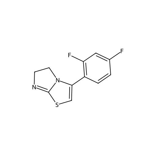 Fc1ccc(C2=CSC3=NCCN23)c(F)c1